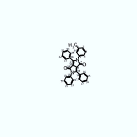 Cc1cccc(N2C(=O)C3=C(c4ccccc4)N(c4ccccc4)C(=O)C3=C2c2ccccc2)c1